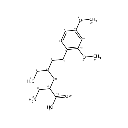 CCC(CCc1ccc(OC)cc1OC)CC(CN)C(=O)O